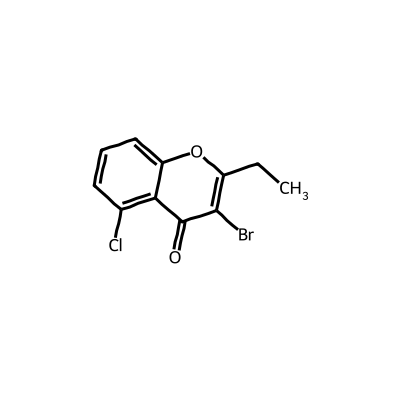 CCc1oc2cccc(Cl)c2c(=O)c1Br